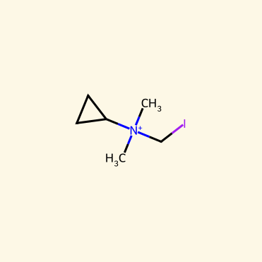 C[N+](C)(CI)C1CC1